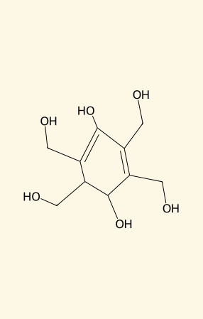 OCC1=C(CO)C(O)C(CO)C(CO)=C1O